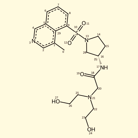 Cc1cncc2cccc(S(=O)(=O)N3CC[C@H](NC(=O)CN(CCO)CCO)C3)c12